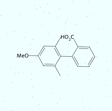 COc1cc(C)c(-c2ccccc2C(=O)O)c(C)c1